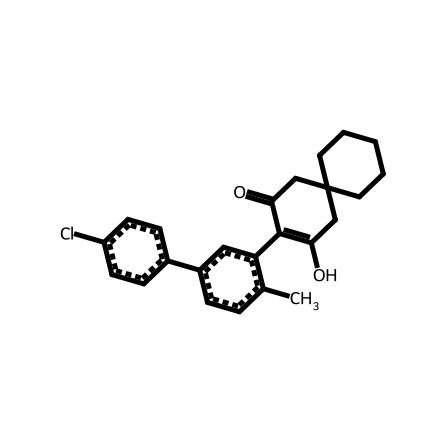 Cc1ccc(-c2ccc(Cl)cc2)cc1C1=C(O)CC2(CCCCC2)CC1=O